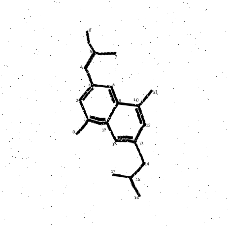 Cc1cc(CC(C)C)cc2c(C)cc(CC(C)C)cc12